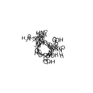 CCC(C)[C@H](NC(=O)[C@@H](CC(=O)[C@@H]1CSSC[C@H](NC(=O)[C@@H](CCC(=O)O)CC(=O)[C@H](Cc2c[nH]c3ccccc23)NC(C)(C)C)C(=O)N2C[C@H](O)C[C@@H]2C(=O)C[C@@H](Cc2ccc(O)c(Cl)c2)C(=O)NCC(=O)C[C@@H](CC(C)C)C(=O)N1)Cc1c[nH]c2ccccc12)C(=O)C[C@@H](CCC(N)=O)C(=O)C(C)(C)C